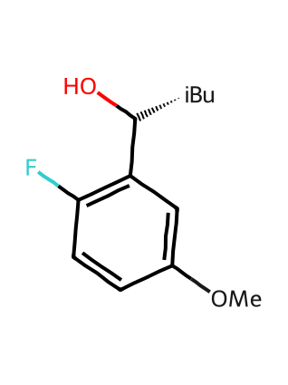 CC[C@@H](C)C(O)c1cc(OC)ccc1F